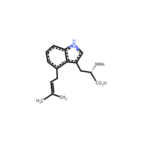 CN[C@@H](Cc1c[nH]c2cccc(CC=C(C)C)c12)C(=O)O